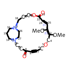 COC1=C(/OC)COCC#CC(=O)CCN2CCCN(CCCOC(=O)\C=C\1)CC2